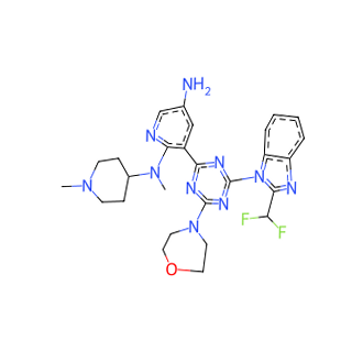 CN1CCC(N(C)c2ncc(N)cc2-c2nc(N3CCOCC3)nc(-n3c(C(F)F)nc4ccccc43)n2)CC1